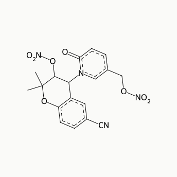 CC1(C)Oc2ccc(C#N)cc2C(n2cc(CO[N+](=O)[O-])ccc2=O)C1O[N+](=O)[O-]